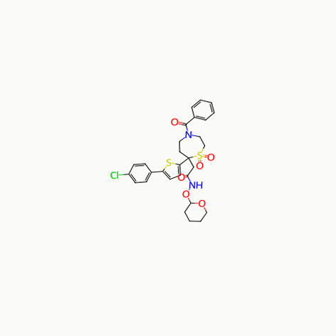 O=C(CC1(c2ccc(-c3ccc(Cl)cc3)s2)CCN(C(=O)c2ccccc2)CCS1(=O)=O)NOC1CCCCO1